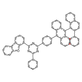 c1ccc(-c2nc(-c3ccc(-c4c5ccccc5c(-c5c(-c6ccccc6)ccc6ccccc56)c5ccccc45)cc3)nc(-c3cccc4c3oc3ccccc34)n2)cc1